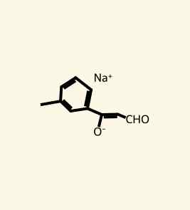 Cc1cccc(/C([O-])=C/C=O)c1.[Na+]